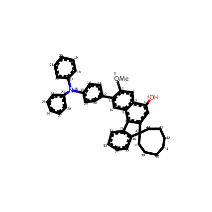 COc1cc2c(O)cc3c(c2cc1-c1ccc(N(c2ccccc2)c2ccccc2)cc1)-c1ccccc1C31CCCCCCC1